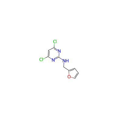 Clc1cc(Cl)nc(NCc2ccco2)n1